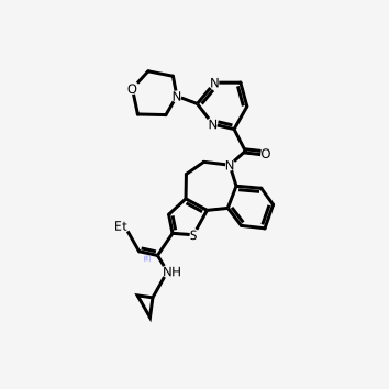 CC/C=C(/NC1CC1)c1cc2c(s1)-c1ccccc1N(C(=O)c1ccnc(N3CCOCC3)n1)CC2